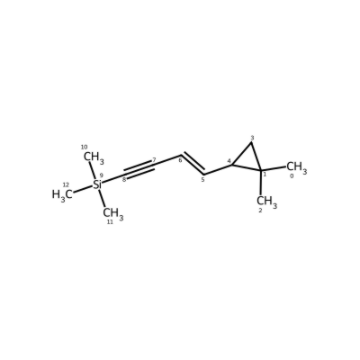 CC1(C)CC1C=CC#C[Si](C)(C)C